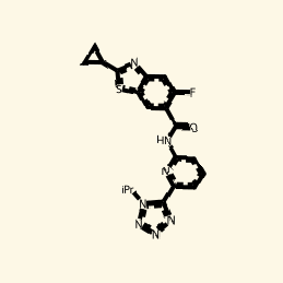 CC(C)n1nnnc1-c1cccc(NC(=O)c2cc3sc(C4CC4)nc3cc2F)n1